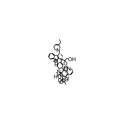 CCC1=CCCN(Cc2c([C@@](CC)(C(=O)CO)C3=CC4C(C=C3OC)N(C)[C@H]3[C@@](O)(C(=O)OC)[C@H](OC(C)=O)[C@]5(CC)C=CCN6CC[C@]43[C@H]65)[nH]c3ccccc23)C1